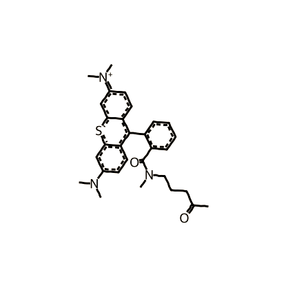 CC(=O)CCCN(C)C(=O)c1ccccc1-c1c2ccc(=[N+](C)C)cc-2sc2cc(N(C)C)ccc12